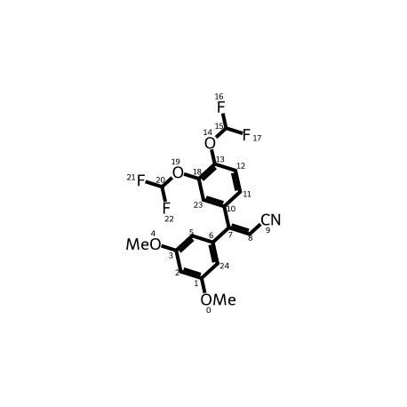 COc1cc(OC)cc(C(=CC#N)c2ccc(OC(F)F)c(OC(F)F)c2)c1